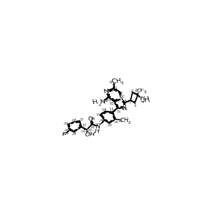 Cc1cn2c(C3CC(C)(O)C3)nc(-c3ccc(NC(=O)[C@@H](O)c4cccc(F)c4)cc3C)c2c(N)n1